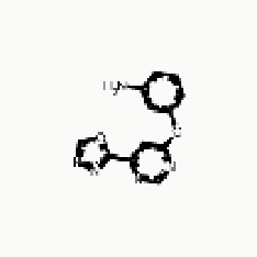 Nc1cccc(Oc2cc(-c3nnco3)ncn2)c1